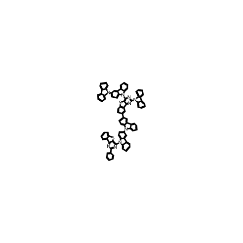 c1ccc(-c2nc(-n3c4ccccc4c4cc(-n5c6ccccc6c6cc(-c7ccc8sc9c(-n%10c%11ccccc%11c%11cc(-n%12c%13ccccc%13c%13ccccc%13%12)ccc%11%10)nc(-n%10c%11ccccc%11c%11ccccc%11%10)nc9c8c7)ccc65)ccc43)c3sc4ccccc4c3n2)cc1